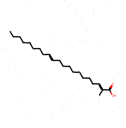 CCCCCCCC/C=C/CCCCCCCC/C=C(\C)C(=O)O